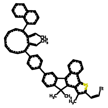 C/C=c1/c(-c2ccc(-c3ccc4c(c3)-c3c(c5c(C)c(/C=C\CC)sc5c5ccccc35)C4(C)C)cc2)ccccccc(-c2cccc3ccccc23)/c1=C/C